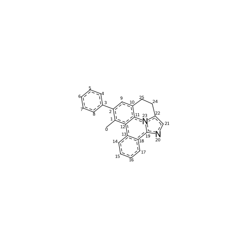 Cc1c(-c2ccccc2)cc2c3c1c1ccccc1c1ncc(n13)CC2